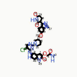 CNC(=O)COc1cc2cc(Nc3nc(N4CCC[C@@H](COc5ccc6c(C7CCC(=O)NC7=O)nn(C)c6c5)C4)ncc3Cl)ccc2n(C)c1=O